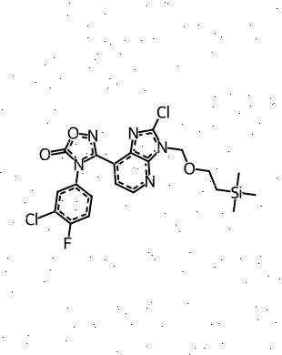 C[Si](C)(C)CCOCn1c(Cl)nc2c(-c3noc(=O)n3-c3ccc(F)c(Cl)c3)ccnc21